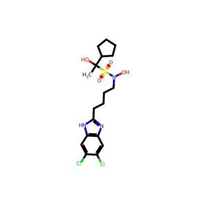 CC(O)(C1CCCC1)S(=O)(=O)N(O)CCCCc1nc2cc(Cl)c(Cl)cc2[nH]1